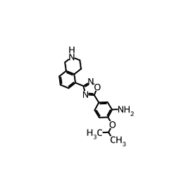 CC(C)Oc1ccc(-c2nc(-c3cccc4c3CCNC4)no2)cc1N